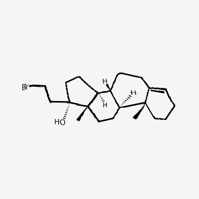 C[C@]12CCCC=C1CC[C@@H]1[C@@H]2CC[C@@]2(C)[C@H]1CC[C@]2(O)CCBr